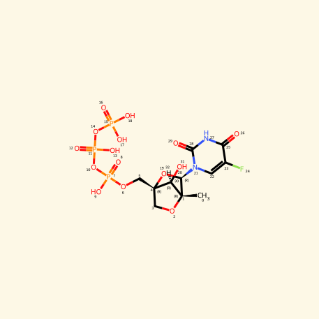 C[C@]12OC[C@](COP(=O)(O)OP(=O)(O)OP(=O)(O)O)(O[C@H]1n1cc(F)c(=O)[nH]c1=O)[C@H]2O